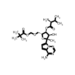 CC(C)[C@H](N)C(=O)O[C@H]1[C@@H](O)[C@](C)(c2ccc3c(N)ncnn23)O[C@@H]1COCOC(=O)C(C)(C)C